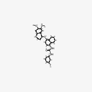 COc1cc2nccc(Oc3ccc(NC(=O)Nc4cccc(F)c4)c4ccccc34)c2cc1OC